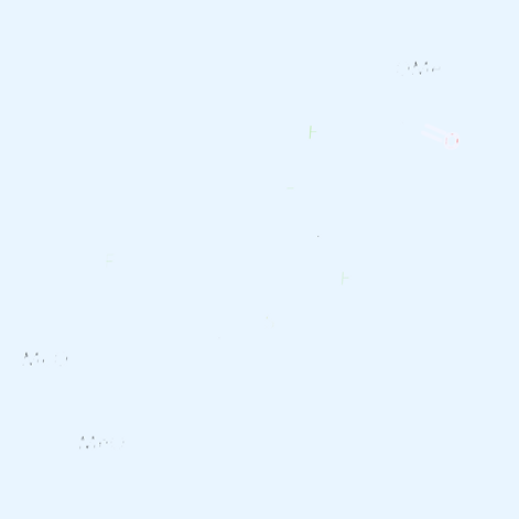 COC(=O)[C@@H](F)CC(F)(F)c1cc2c(F)c(OC)c(OC)cc2s1